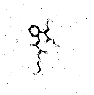 CCCO/N=C(\Cl)C(Cl)=Cc1ccccc1/C(=C\OC)C(=O)OC